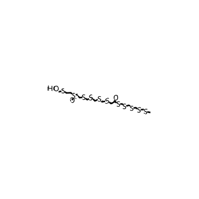 CSCSCSCSCSC(=O)CSCSCSCSCC[S+]([O-])CCSCO